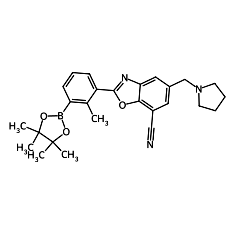 Cc1c(B2OC(C)(C)C(C)(C)O2)cccc1-c1nc2cc(CN3CCCC3)cc(C#N)c2o1